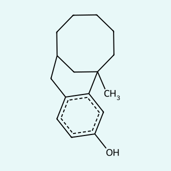 CC12CCCCCC(Cc3ccc(O)cc31)C2